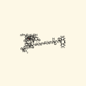 CCCC1O[C@@H]2C[C@H]3[C@@H]4C[C@H](F)C5=CC(=O)C=C[C@]5(C)[C@@]4(F)[C@@H](O)C[C@]3(C)C2(C(=O)CNC(=O)[C@H](CCCNC(N)=O)NC(=O)[C@@H](NC(=O)CCOCCOCCOCCOCCNC(=O)CCC(=O)N2Cc3ccccc3C#Cc3ccccc32)C(C)C)O1